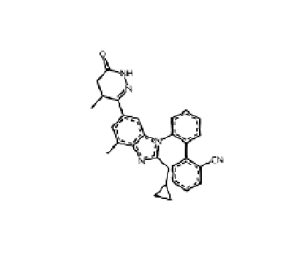 Cc1cc(C2=NNC(=O)CC2C)cc2c1nc(CC1CC1)n2-c1ccccc1-c1ccccc1C#N